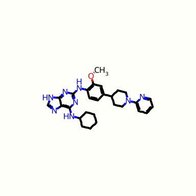 COc1cc(C2CCN(c3ccccn3)CC2)ccc1Nc1nc(NC2CCCCC2)c2nc[nH]c2n1